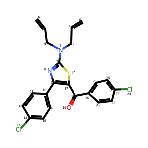 C=CCN(CC=C)c1nc(-c2ccc(Cl)cc2)c(C(=O)c2ccc(Cl)cc2)s1